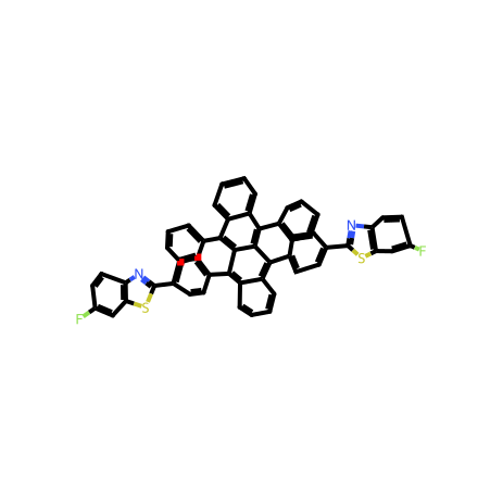 Fc1ccc2nc(-c3ccc(-c4c5ccccc5c(-c5ccc(-c6nc7ccc(F)cc7s6)cc5)c5c(-c6ccccc6)c6ccccc6c(-c6ccccc6)c45)cc3)sc2c1